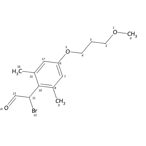 COCCCOc1cc(C)c(C(Br)C=O)c(C)c1